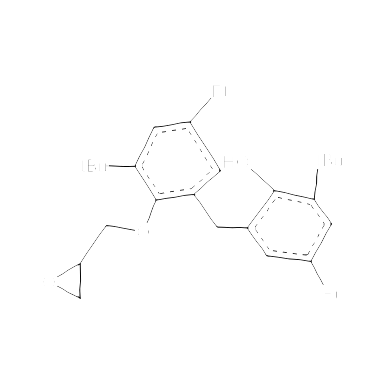 CCc1cc(Cc2cc(CC)cc(C(C)(C)C)c2OCC2CO2)c(O)c(C(C)(C)C)c1